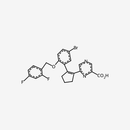 O=C(O)c1cncc(C2=C(c3cc(Br)ccc3OCc3ccc(F)cc3F)CCC2)n1